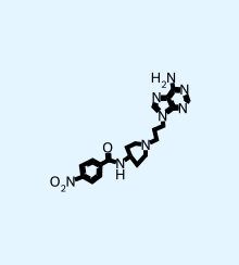 Nc1ncnc2c1ncn2CCCN1CCC(NC(=O)c2ccc([N+](=O)[O-])cc2)CC1